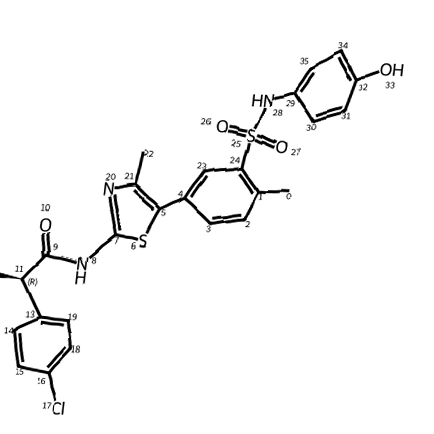 Cc1ccc(-c2sc(NC(=O)[C@H](C)c3ccc(Cl)cc3)nc2C)cc1S(=O)(=O)Nc1ccc(O)cc1